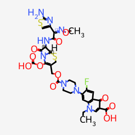 CCn1cc(C(=O)O)c(=O)c2cc(F)c(N3CCN(C(=O)OCC4=C(OC(=O)O)N5C(=O)[C@@H](NC(=O)/C(=N\OC)c6csc(N)n6)[C@H]5SC4)CC3)cc21